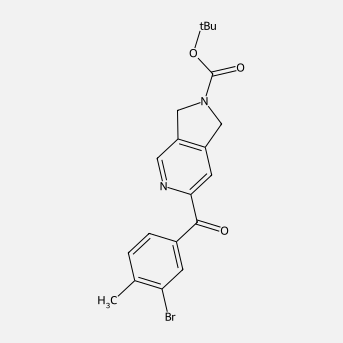 Cc1ccc(C(=O)c2cc3c(cn2)CN(C(=O)OC(C)(C)C)C3)cc1Br